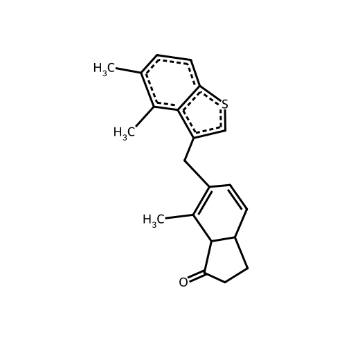 CC1=C(Cc2csc3ccc(C)c(C)c23)C=CC2CCC(=O)C12